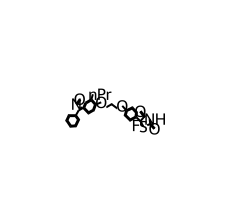 CCCc1c(OCCCOc2ccc(C3(F)SC(=O)NC3=O)cc2)ccc2c(-c3ccccc3)noc12